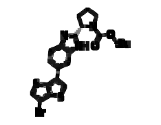 CC(C)(C)OC(=O)N1CCC[C@H]1c1nc2ccc(-c3csc4c(Br)csc34)cc2[nH]1